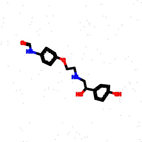 O=CNc1ccc(OCCNCC(O)c2ccc(O)cc2)cc1